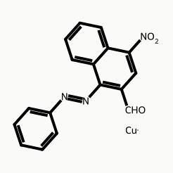 O=Cc1cc([N+](=O)[O-])c2ccccc2c1N=Nc1ccccc1.[Cu]